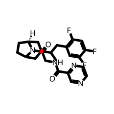 CC(Cc1cc(F)c(F)cc1F)C1CC2CC[C@@H](C1)N2C(=O)CNC(=O)c1cnccn1